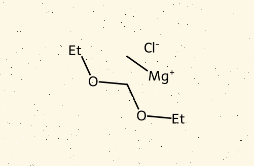 CCOCOCC.[CH3][Mg+].[Cl-]